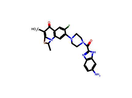 CC1Sc2c(C(=O)O)c(=O)c3cc(F)c(N4CCN(C(=O)c5nc6ccc(N)cc6[nH]5)CC4)cc3n21